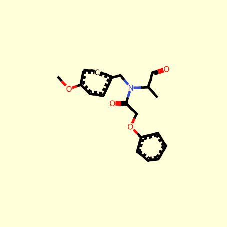 COc1ccc(CN(C(=O)COc2ccccc2)C(C)C=O)cc1